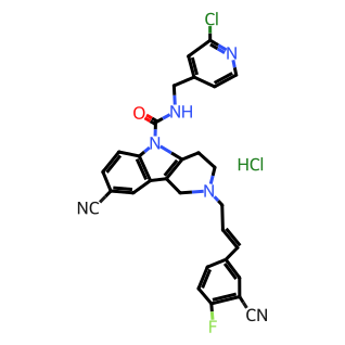 Cl.N#Cc1ccc2c(c1)c1c(n2C(=O)NCc2ccnc(Cl)c2)CCN(C/C=C/c2ccc(F)c(C#N)c2)C1